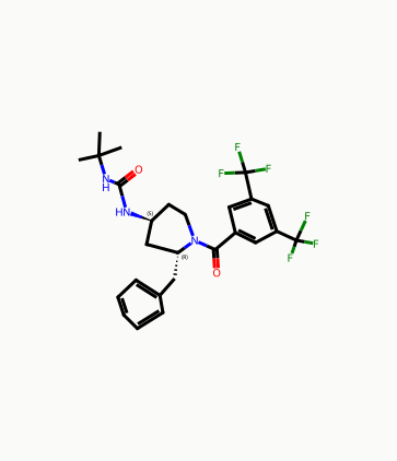 CC(C)(C)NC(=O)N[C@H]1CCN(C(=O)c2cc(C(F)(F)F)cc(C(F)(F)F)c2)[C@H](Cc2ccccc2)C1